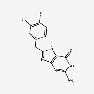 Nc1nc2nc(Cc3ccc(F)c(Br)c3)[nH]c2c(=O)[nH]1